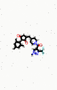 Cc1cc(C)c(C2C(=O)CC(CC3CCN(C(=O)c4cn(C)nc4C(F)F)CC3)C2=O)c(C)c1